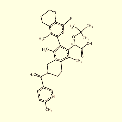 C=C(c1ccc(C)nc1)N1CCc2c(C)c([C@H](OC(C)(C)C)C(=O)O)c(-c3cc(F)c4c(c3C)CCCO4)c(C)c2C1